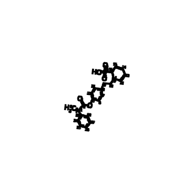 CN(C(=O)Oc1ccc(CCN2C=CC=CC2S(=O)(=O)O)cc1)c1ccccc1